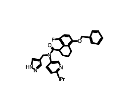 CC(C)c1ccc(N(Cc2cn[nH]c2)C(=O)C2CCCc3c(OCc4ccccc4)ccc(F)c32)cn1